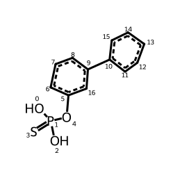 OP(O)(=S)Oc1cccc(-c2ccccc2)c1